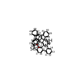 Cc1cc2c(c(C3=C(c4c(-c5ccccc5)ccc5[se]c6ccccc6c45)N=NNC3(c3ccccc3)c3ccccc3)c1C)Cc1ccccc1-2